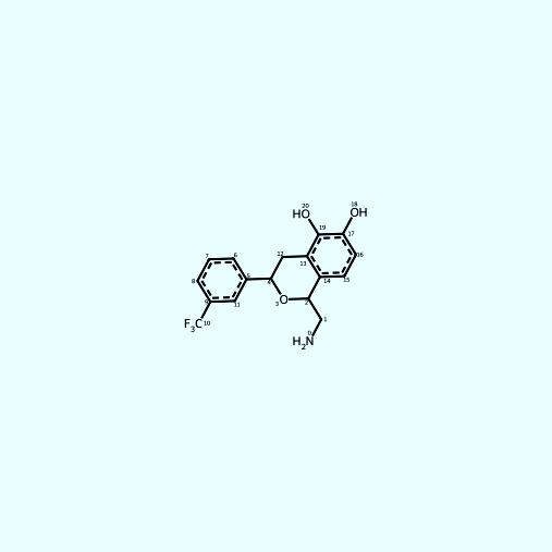 NCC1OC(c2cccc(C(F)(F)F)c2)Cc2c1ccc(O)c2O